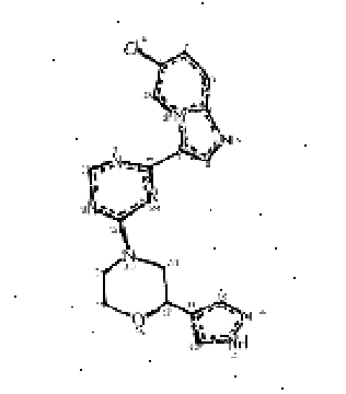 Clc1ccc2ncc(-c3ncnc(N4CCOC(c5cn[nH]c5)C4)n3)n2c1